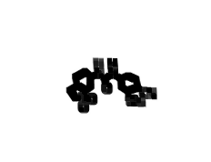 CC(C)(C)c1cc(NC(=O)Nc2ccc3c(c2)S(=O)(=O)C=C3)ccc1C#N